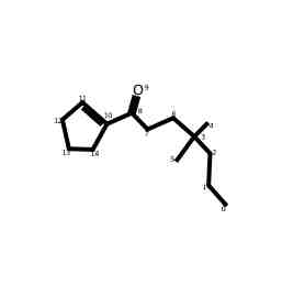 CCCC(C)(C)CCC(=O)C1=CCCC1